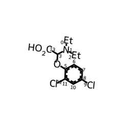 CCN(CC)C(Oc1ccc(Cl)cc1Cl)C(=O)O